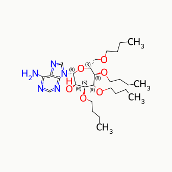 CCCCOC[C@H]1O[C@@H](n2cnc3c(N)ncnc32)[C@H](O)[C@H](OCCCC)[C@@H](OCCCC)[C@@H]1OCCCC